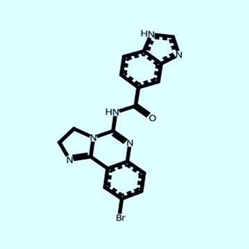 O=C(NC1=Nc2ccc(Br)cc2C2=NCCN12)c1ccc2[nH]cnc2c1